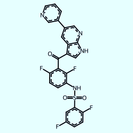 O=C(c1c(F)ccc(NS(=O)(=O)c2cc(F)ccc2F)c1F)c1c[nH]c2ncc(-c3cccnc3)cc12